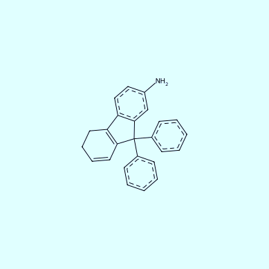 Nc1ccc2c(c1)C(c1ccccc1)(c1ccccc1)C1=C2CCC=C1